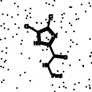 CCCC(C)NC(=O)c1nc(Cl)c(Cl)[nH]1